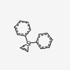 C1=C[Si]1(c1ccccc1)c1ccccc1